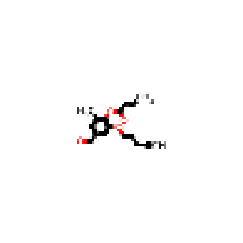 C#CCCCOc1cc(C=O)cc(C)c1OC(=O)CCC